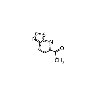 CC(=O)c1ccc2ncsc2n1